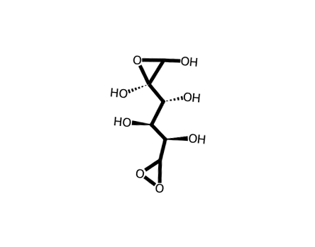 OC1O[C@]1(O)[C@H](O)[C@H](O)[C@@H](O)C1OO1